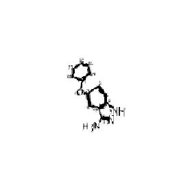 Nc1n[nH]c2ccc(Oc3ccccc3)cc12